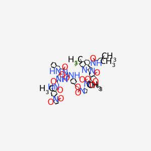 CC[C@@]1(OC(=O)N(C)C[C@@H]2CCCN2C(=O)OCc2ccc(NC(=O)CNC(=O)[C@H](Cc3ccccc3)NC(=O)CNC(=O)CNC(=O)c3cc(N4C(=O)C=CC4=O)ccc3C)cc2)C(=O)OCc2c1cc1n(c2=O)Cc2c-1nc1cc(F)c(C)c3c1c2[C@@H](NC(=O)CCC(C)C)CC3